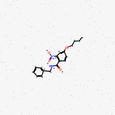 CCCCOc1ccc(C(=O)NCc2ccccc2)c([N+](=O)[O-])c1